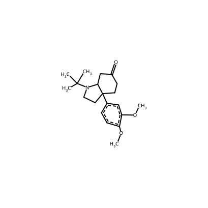 COc1ccc(C23CCC(=O)CC2N(C(C)(C)C)CC3)cc1OC